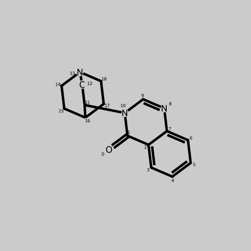 O=c1c2ccccc2ncn1C1CN2CCC1CC2